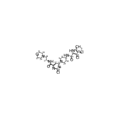 Cc1[nH]c(C(=O)NC2CCN(c3cc(C(=O)NCCN4CCOCC4)nc(Cl)n3)CC2)c(Cl)c1Cl